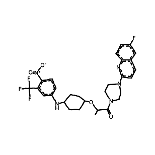 CC(OC1CCC(Nc2ccc([N+](=O)[O-])c(C(F)(F)F)c2)CC1)C(=O)N1CCN(c2ccc3cc(F)ccc3n2)CC1